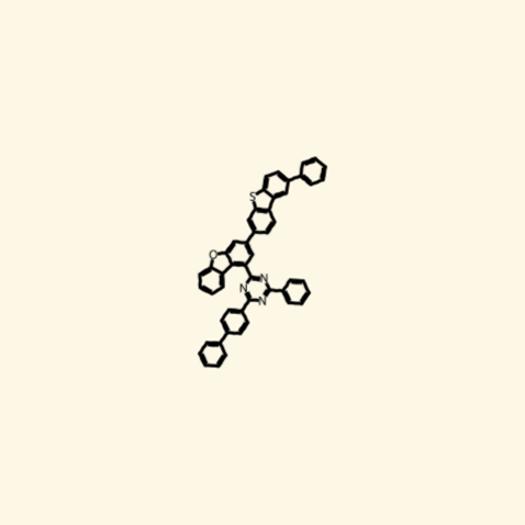 c1ccc(-c2ccc(-c3nc(-c4ccccc4)nc(-c4cc(-c5ccc6c(c5)sc5ccc(-c7ccccc7)cc56)cc5oc6ccccc6c45)n3)cc2)cc1